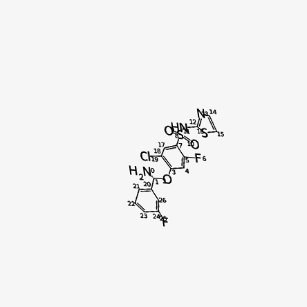 N[C@H](Oc1cc(F)c(S(=O)(=O)Nc2nccs2)cc1Cl)c1cccc(F)c1